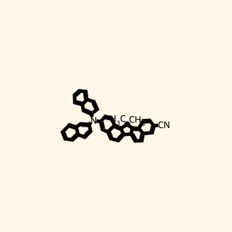 CC1(C)c2c(ccc3cc(C#N)ccc23)-c2ccc3cc(N(c4ccc5ccccc5c4)c4ccc5ccccc5c4)ccc3c21